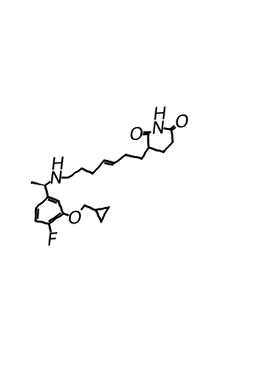 C[C@@H](NCCC/C=C/CCC1CCC(=O)NC1=O)c1ccc(F)c(OCC2CC2)c1